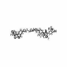 CC1(C)C(=O)N(c2ccc(C#N)c(C(F)(F)F)c2)C(=S)N1c1ccc(NCCCOCCCOc2ccc3c(-n4ccc(=O)[nH]c4=O)cncc3c2)cc1